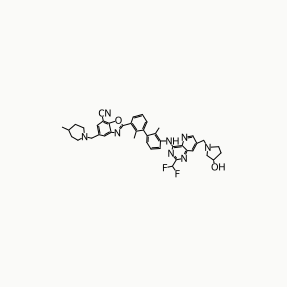 Cc1c(Nc2nc(C(F)F)nc3cc(CN4CC[C@@H](O)C4)cnc23)cccc1-c1cccc(-c2nc3cc(CN4CCC(C)CC4)cc(C#N)c3o2)c1C